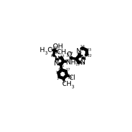 Cc1ccc(-c2nn(CC(C)(C)O)cc2NC(=O)c2cnn3cccnc23)cc1Cl